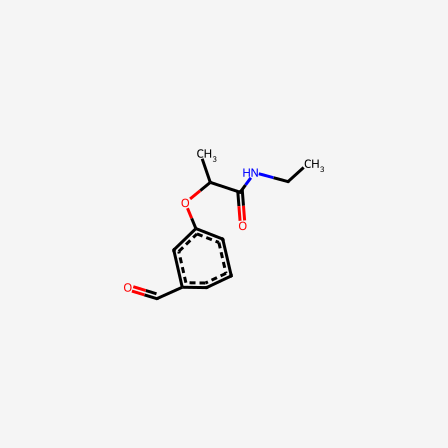 CCNC(=O)C(C)Oc1cccc(C=O)c1